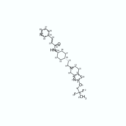 CC(F)(F)COc1nc2c(s1)CCN(CC[C@H]1CC[C@H](NC(=O)/C=C/c3cccnc3)CC1)C2